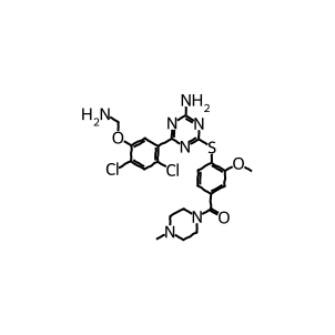 COc1cc(C(=O)N2CCN(C)CC2)ccc1Sc1nc(N)nc(-c2cc(OCN)c(Cl)cc2Cl)n1